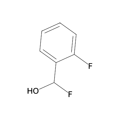 OC(F)c1ccccc1F